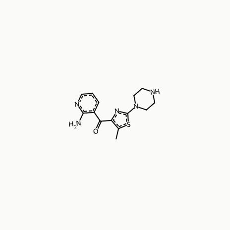 Cc1sc(N2CCNCC2)nc1C(=O)c1cccnc1N